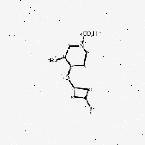 CC(C)(C)C1CN(C(=O)O)CCC1OC1CC(Br)C1